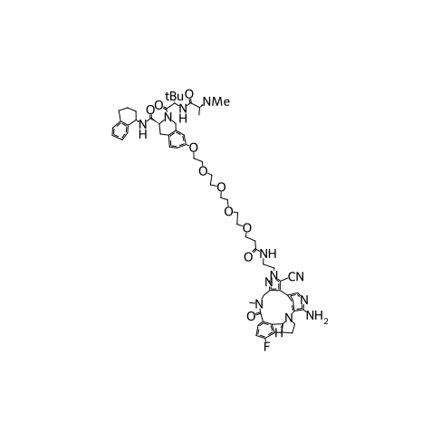 CN[C@@H](C)C(=O)N[C@H](C(=O)N1Cc2cc(OCCOCCOCCOCCOCCC(=O)NCCn3nc4c(c3C#N)-c3cnc(N)c(c3)N3CCC[C@@H]3c3cc(F)ccc3C(=O)N(C)C4)ccc2C[C@H]1C(=O)N[C@@H]1CCCc2ccccc21)C(C)(C)C